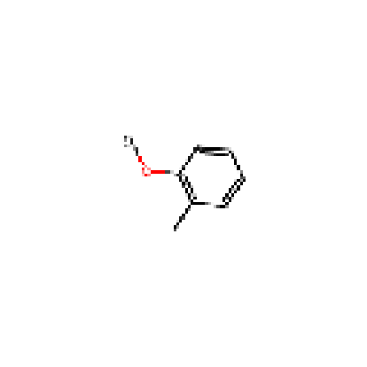 CCOc1ccc[c]c1C